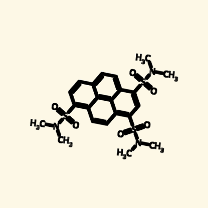 CN(C)S(=O)(=O)c1ccc2ccc3c(S(=O)(=O)N(C)C)cc(S(=O)(=O)N(C)C)c4ccc1c2c34